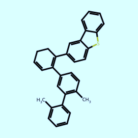 Cc1ccccc1-c1cc(C2=C(c3ccc4sc5ccccc5c4c3)CCC=C2)ccc1C